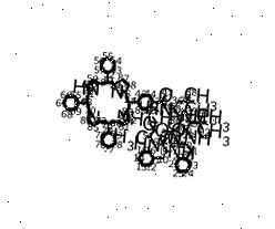 COC(=O)C(C)NC(=O)[C@H](Cc1ccccc1)NC(=O)C(Cc1ccccc1)NC(=O)C(NC(=O)[C@H](CC(C)C)NC(=O)c1ccc(-c2c3nc(c(-c4ccccc4)c4ccc([nH]4)c(-c4ccccc4)c4nc(c(-c5ccccc5)c5ccc2[nH]5)C=C4)C=C3)cc1)C(C)C